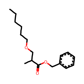 CCCCCCOCC(C)C(=O)OCc1ccccc1